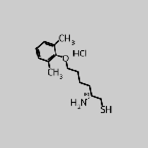 Cc1cccc(C)c1OCCCC[C@@H](N)CS.Cl